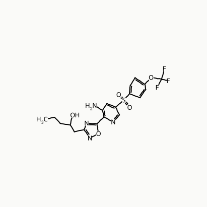 CCCC(O)Cc1noc(-c2ncc(S(=O)(=O)c3ccc(OC(F)(F)F)cc3)cc2N)n1